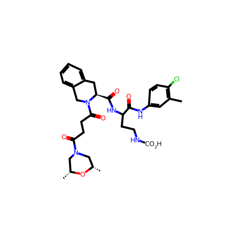 Cc1cc(NC(=O)C(CCNC(=O)O)NC(=O)[C@@H]2Cc3ccccc3CN2C(=O)CCC(=O)N2C[C@@H](C)O[C@@H](C)C2)ccc1Cl